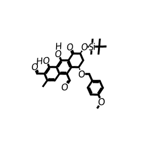 COc1ccc(CO[C@H]2C[C@H](O[Si](C)(C)C(C)(C)C)C(=O)c3c2c(C=O)c2cc(C)c(C=O)c(O)c2c3O)cc1